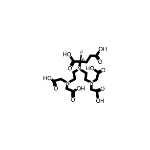 O=C(O)CC[C@@](F)(C(=O)O)N(CCN(CC(=O)O)CC(=O)O)CCN(CC(=O)O)CC(=O)O